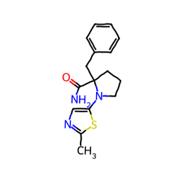 Cc1ncc(N2CCCC2(Cc2ccccc2)C(N)=O)s1